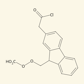 O=C(Cl)Cc1ccc2c(c1)C(COOC(=O)O)c1ccccc1-2